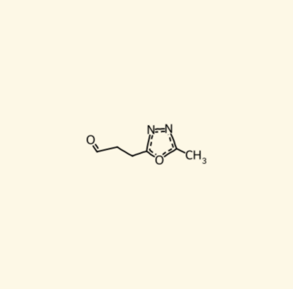 Cc1nnc(CCC=O)o1